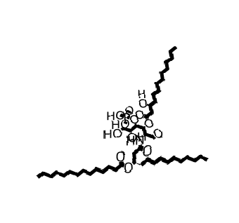 CCCCCCCCCCCCCC(=O)O[C@@H](CCCCCCCCCCC)CC(=O)N[C@@H](C=O)[C@@H](OC(=O)C[C@@H](O)CCCCCCCCCCC)[C@H](OP(=O)(O)O)[C@H](O)CO